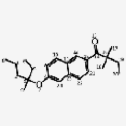 CCCC(C)(CC)Oc1ccc2cc(C(=O)C(C)(C)CC)ccc2c1